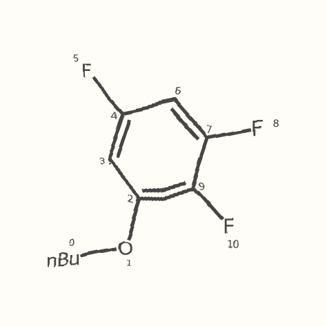 CCCCOc1[c]c(F)cc(F)c1F